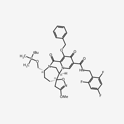 COC1=NO[C@@]2(CC[C@H](CO[Si](C)(C)C(C)(C)C)N3C[C@H]2n2cc(C(=O)NCc4c(F)cc(F)cc4F)c(=O)c(OCc4ccccc4)c2C3=O)C1